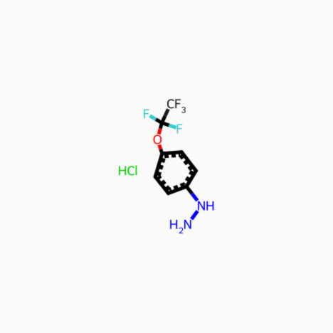 Cl.NNc1ccc(OC(F)(F)C(F)(F)F)cc1